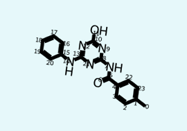 Cc1ccc(C(=O)Nc2nc(O)nc(Nc3ccccc3)n2)cc1